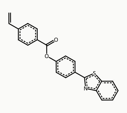 C=Cc1ccc(C(=O)Oc2ccc(-c3nc4ccccc4s3)cc2)cc1